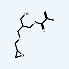 C=C(C)C(=O)OCC(CO)COCC1CO1